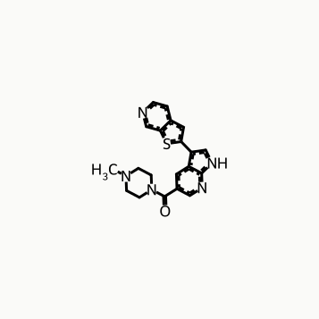 CN1CCN(C(=O)c2cnc3[nH]cc(-c4cc5ccncc5s4)c3c2)CC1